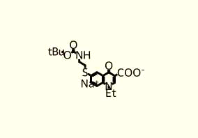 CCn1cc(C(=O)[O-])c(=O)c2cc(SCCNC(=O)OC(C)(C)C)ccc21.[Na+]